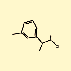 Cc1cccc(C(C)NCl)c1